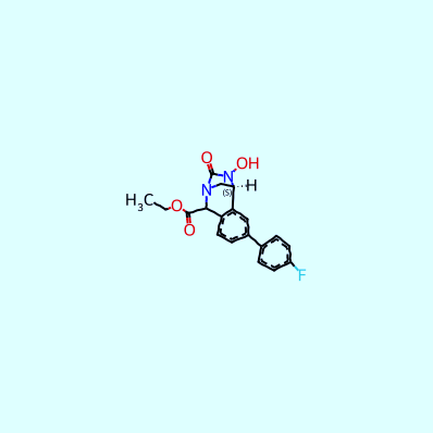 CCOC(=O)C1c2ccc(-c3ccc(F)cc3)cc2[C@H]2CN1C(=O)N2O